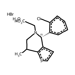 Br.CC1CN(CC(=O)O)[C@H](c2ccccc2Cl)c2ccsc21.O